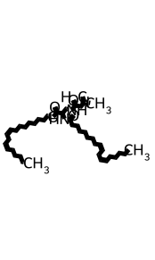 CCCCC/C=C\C/C=C\CCCCCCCCOC(=O)C(CNC(=O)CN(C)C)NC(=O)CCCCCCC/C=C\C/C=C\CCCCC